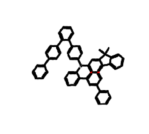 CC1(C)c2ccccc2-c2ccc(N(c3ccc(-c4ccccc4-c4ccc(-c5ccccc5)cc4)cc3)c3ccccc3-c3cccc(-c4ccccc4)c3)cc21